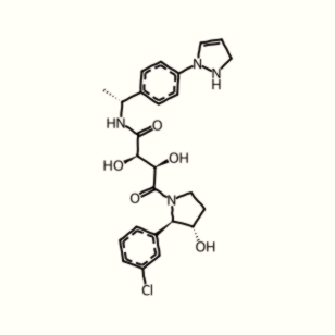 C[C@@H](NC(=O)[C@H](O)[C@@H](O)C(=O)N1CC[C@H](O)[C@H]1c1cccc(Cl)c1)c1ccc(N2C=CCN2)cc1